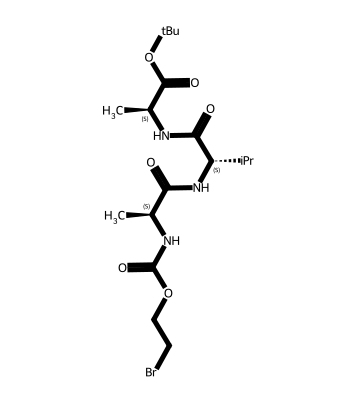 CC(C)[C@H](NC(=O)[C@H](C)NC(=O)OCCBr)C(=O)N[C@@H](C)C(=O)OC(C)(C)C